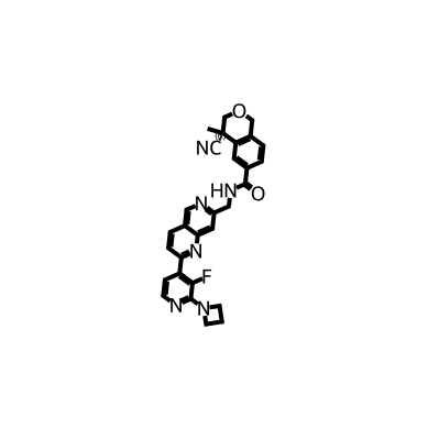 C[C@@]1(C#N)COCc2ccc(C(=O)NCc3cc4nc(-c5ccnc(N6CCC6)c5F)ccc4cn3)cc21